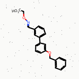 O=C(O)CO/N=C/c1cccc(-c2cccc(OCc3ccccc3)c2)c1